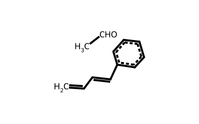 C=CC=Cc1ccccc1.CC=O